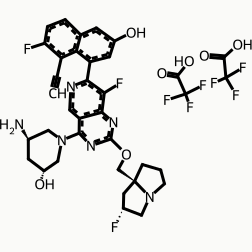 C#Cc1c(F)ccc2cc(O)cc(-c3ncc4c(N5C[C@H](N)C[C@@H](O)C5)nc(OC[C@@]56CCCN5C[C@H](F)C6)nc4c3F)c12.O=C(O)C(F)(F)F.O=C(O)C(F)(F)F